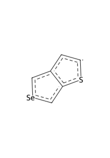 [c]1cc2c[se]cc2s1